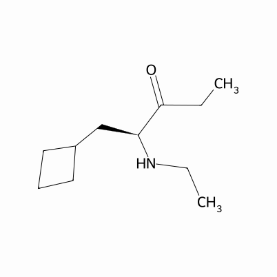 CCN[C@@H](CC1CCC1)C(=O)CC